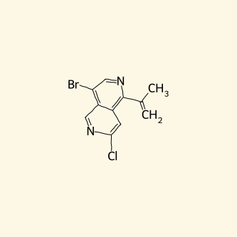 C=C(C)c1ncc(Br)c2cnc(Cl)cc12